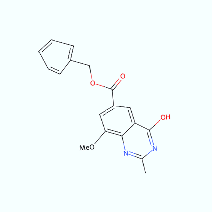 COc1cc(C(=O)OCc2ccccc2)cc2c(O)nc(C)nc12